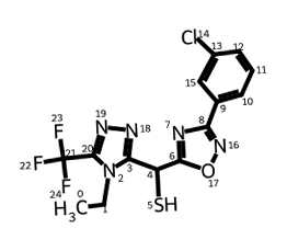 CCn1c(C(S)c2nc(-c3cccc(Cl)c3)no2)nnc1C(F)(F)F